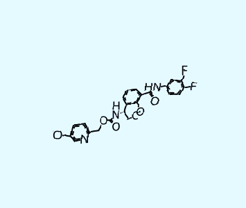 COc1ccc(COC(=O)N[C@H]2CCOc3c(C(=O)Nc4ccc(F)c(F)c4)cccc32)nc1